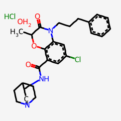 CC1Oc2c(C(=O)NC3CN4CCC3CC4)cc(Cl)cc2N(CCCc2ccccc2)C1=O.Cl.O